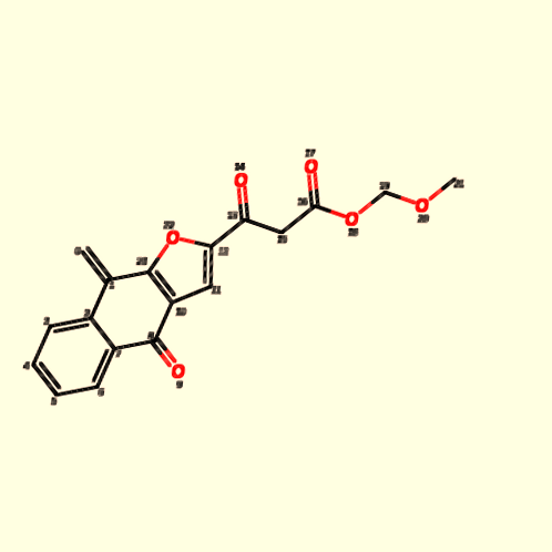 C=C1c2ccccc2C(=O)c2cc(C(=O)CC(=O)OCOC)oc21